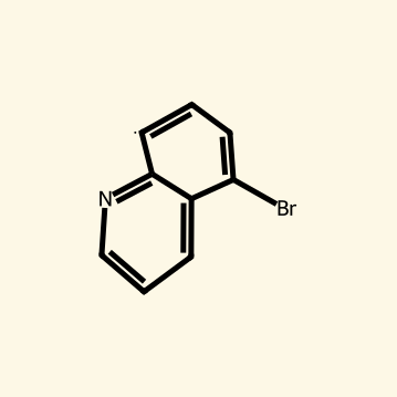 Brc1cc[c]c2ncccc12